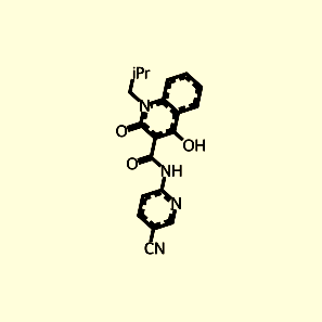 CC(C)Cn1c(=O)c(C(=O)Nc2ccc(C#N)cn2)c(O)c2ccccc21